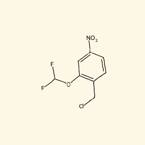 O=[N+]([O-])c1ccc(CCl)c(OC(F)F)c1